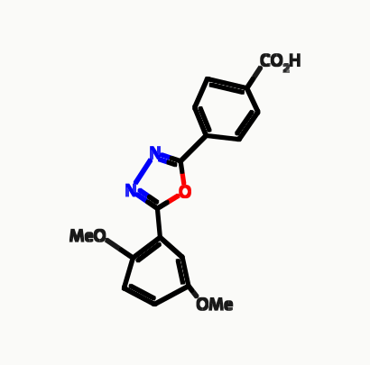 COc1ccc(OC)c(-c2nnc(-c3ccc(C(=O)O)cc3)o2)c1